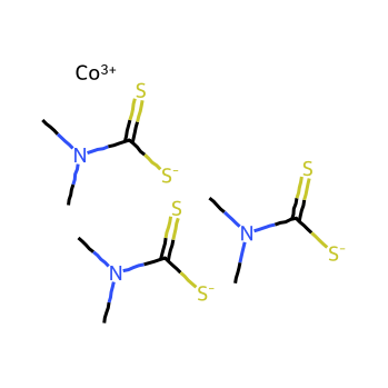 CN(C)C(=S)[S-].CN(C)C(=S)[S-].CN(C)C(=S)[S-].[Co+3]